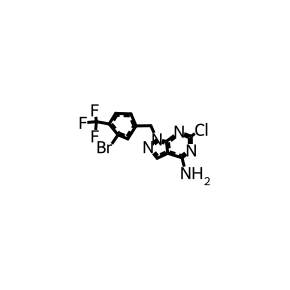 Nc1nc(Cl)nc2c1cnn2Cc1ccc(C(F)(F)F)c(Br)c1